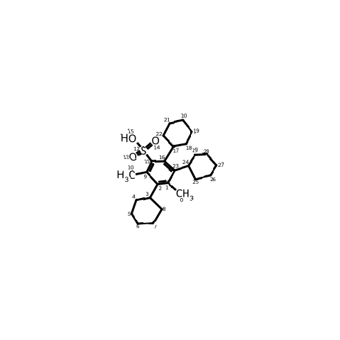 Cc1c(C2CCCCC2)c(C)c(S(=O)(=O)O)c(C2CCCCC2)c1C1CCCCC1